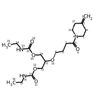 C=C1CCN(C(=O)CCCOC(COC(=O)NCC)COC(=O)NCC)CC1